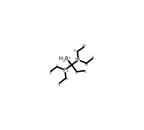 BC(CC)(P(CC)CC)P(CC)CC